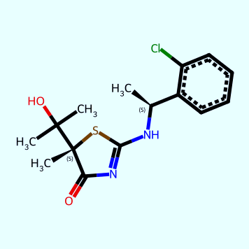 C[C@H](NC1=NC(=O)[C@](C)(C(C)(C)O)S1)c1ccccc1Cl